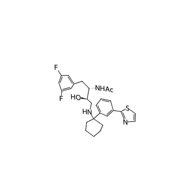 CC(=O)N[C@@H](Cc1cc(F)cc(F)c1)[C@H](O)CNC1(c2cccc(-c3nccs3)c2)CCCCC1